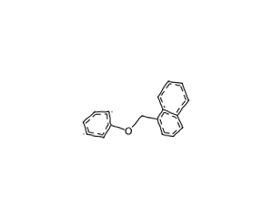 [c]1cc[c]c(OCc2cccc3ccccc23)c1